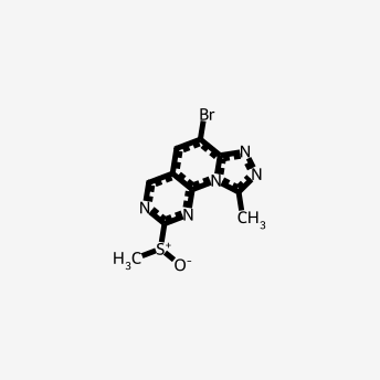 Cc1nnc2c(Br)cc3cnc([S+](C)[O-])nc3n12